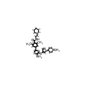 Cc1cc(-c2cnc(N)c(Oc3cnn(C4CCN(C)CC4)c3)n2)cc(C)c1C(=O)NCCN1CCCCC1